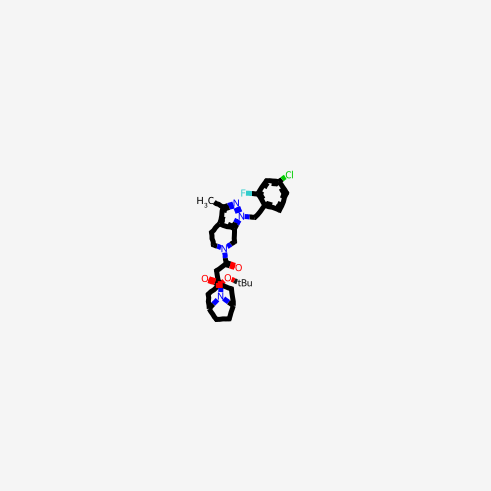 Cc1nn(Cc2ccc(Cl)cc2F)c2c1CCN(C(=O)CC1CC3CCC(C1)N3C(=O)OC(C)(C)C)C2